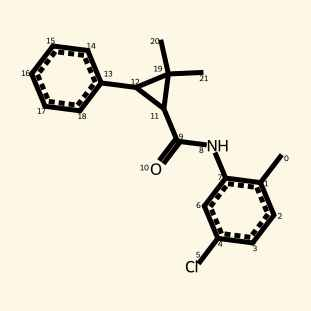 Cc1ccc(Cl)cc1NC(=O)C1C(c2ccccc2)C1(C)C